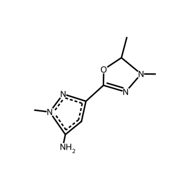 CC1OC(c2cc(N)n(C)n2)=NN1C